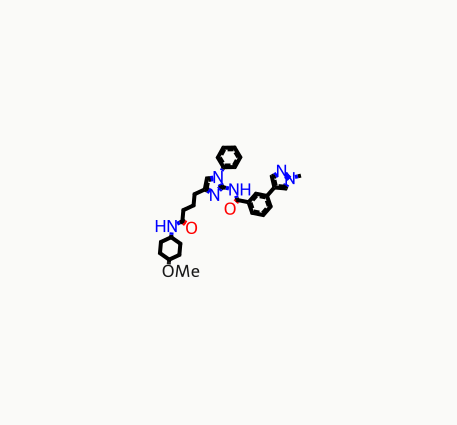 COC1CCC(NC(=O)CCCc2cn(-c3ccccc3)c(NC(=O)c3cccc(-c4cnn(C)c4)c3)n2)CC1